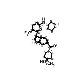 CC1(O)CCN(C(=O)c2ccc3c(-c4nc(N[C@H]5CCCNC5)ncc4C(F)(F)F)c[nH]c3c2)CC1